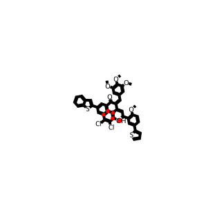 COc1ccc(-c2cccs2)cc1C(=O)C=C(C(=Cc1cc(OC)c(OC)c(OC)c1)C(=O)c1cc(-c2cc3ccccc3s2)ccc1OC)c1ccc(Cl)c(Cl)c1O